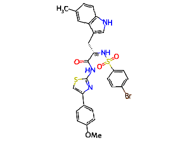 COc1ccc(-c2csc(NC(=O)[C@H](Cc3c[nH]c4ccc(C)cc34)NS(=O)(=O)c3ccc(Br)cc3)n2)cc1